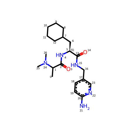 CC(C(=O)N[C@@H](CC1CCCCC1)C(=O)NCc1ccc(N)nc1)N(C)C